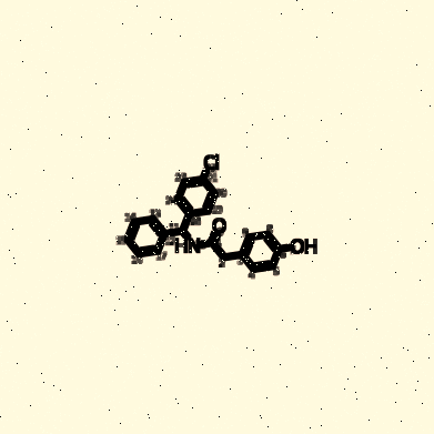 O=C(Cc1ccc(O)cc1)NC(c1ccccc1)c1ccc(Cl)cc1